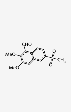 COc1cc2cc(S(C)(=O)=O)ccc2c(C=O)c1OC